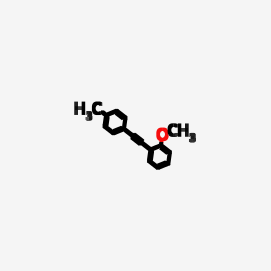 COc1ccccc1C#Cc1ccc(C)cc1